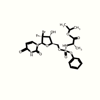 CC(C)OC(=O)[C@H](C)N[P@](=O)(OC[C@H]1O[C@@H](n2ccc(=O)[nH]c2=O)[C@@](F)(Br)[C@@H]1O)Oc1ccccc1